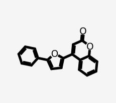 O=c1cc(-c2ccc(-c3ccccc3)o2)c2ccccc2o1